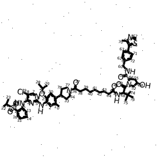 Cc1cc(Nc2ncc(Cl)c(Nc3ccccc3S(=O)(=O)C(C)C)n2)c(OC(C)C)cc1C1CCN(C(=O)CCCCCCCC(=O)NC(C(=O)N2C[C@H](O)C[C@H]2C(=O)NCc2ccc(-c3scnc3C)cc2)C(C)(C)C)CC1